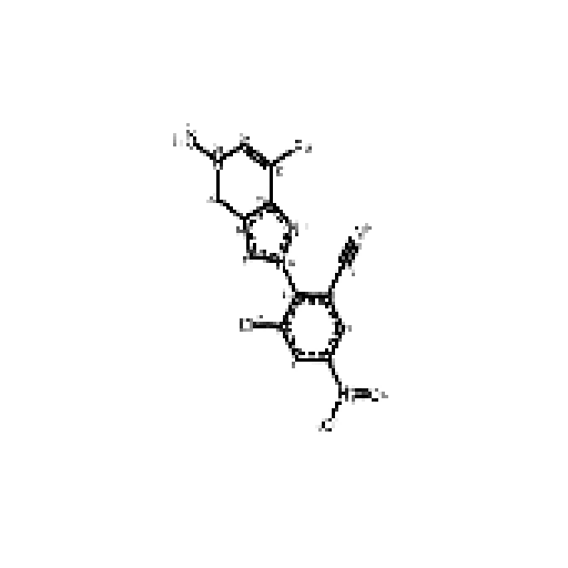 N#Cc1cc([N+](=O)[O-])cc(Cl)c1-n1cc2c(n1)C(F)=CN(O)C2